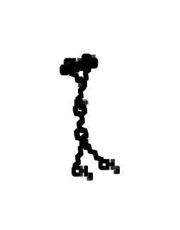 CCCCCCN(CCCCCC)c1ccc(/C=C/c2cc[n+](CCCCN(CCCS(=O)(=O)[O-])CCCS(=O)(=O)O)cc2)cc1